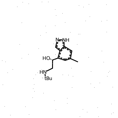 Cc1cc([C@@H](O)CNC(C)(C)C)c2cn[nH]c2c1